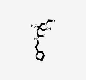 CC(CO)(COC=O)OC(=O)NCCc1ccccn1